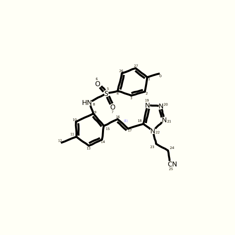 Cc1ccc(S(=O)(=O)Nc2cc(C)ccc2/C=C/c2nnnn2CCC#N)cc1